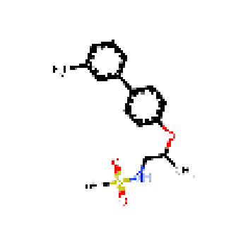 CCCS(=O)(=O)NCC(C)Oc1ccc(-c2cccc(C(F)(F)F)c2)cc1